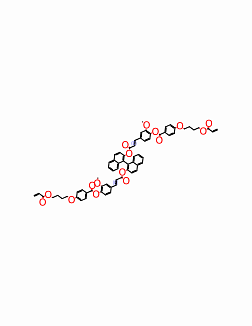 C=CC(=O)OCCCCOc1ccc(C(=O)Oc2ccc(/C=C/C(=O)Oc3ccc4ccccc4c3-c3c(OC(=O)/C=C/c4ccc(OC(=O)c5ccc(OCCCCOC(=O)C=C)cc5)c(OC)c4)ccc4ccccc34)cc2OC)cc1